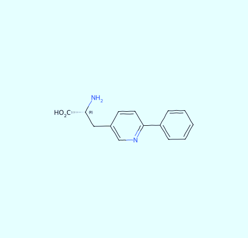 N[C@H](Cc1ccc(-c2ccccc2)nc1)C(=O)O